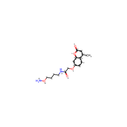 Cc1cc(=O)oc2cc(OCC(=O)NCCCCON)ccc12